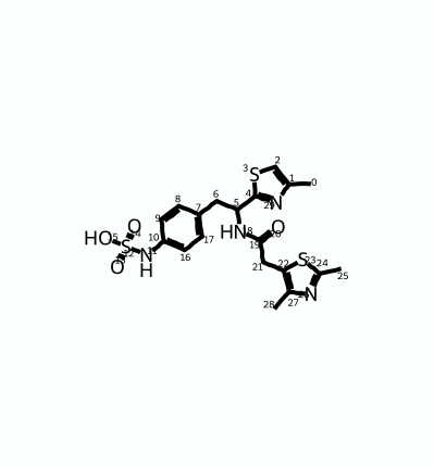 Cc1csc(C(Cc2ccc(NS(=O)(=O)O)cc2)NC(=O)Cc2sc(C)nc2C)n1